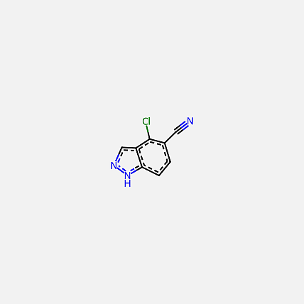 N#Cc1ccc2[nH]ncc2c1Cl